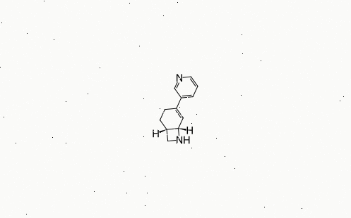 C1=C(c2cccnc2)CC[C@H]2CN[C@@H]12